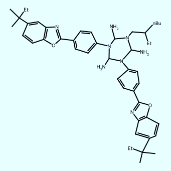 CCCCC(CC)CN1C(N)N(c2ccc(-c3nc4cc(C(C)(C)CC)ccc4o3)cc2)C(N)N(c2ccc(-c3nc4cc(C(C)(C)CC)ccc4o3)cc2)C1N